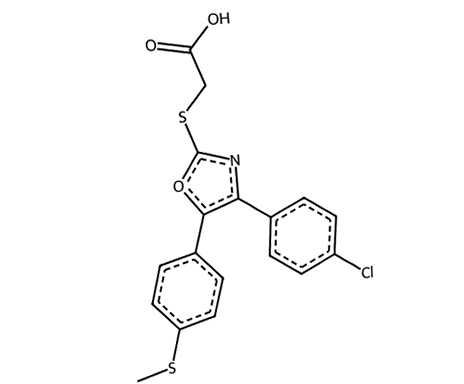 CSc1ccc(-c2oc(SCC(=O)O)nc2-c2ccc(Cl)cc2)cc1